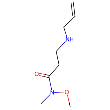 C=CCNCCC(=O)N(C)OC